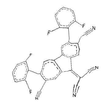 N#CC(C#N)=C1c2cc(C#N)c(-c3c(F)cccc3F)cc2-c2cc(-c3c(F)cccc3F)c(C#N)cc21